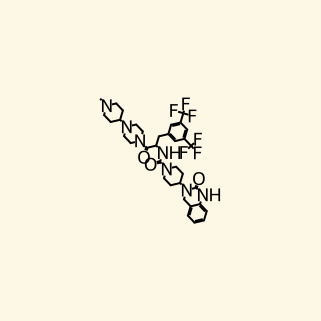 CN1CCC(N2CCN(C(=O)C(Cc3cc(C(F)(F)F)cc(C(F)(F)F)c3)NC(=O)N3CCC(N4Cc5ccccc5NC4=O)CC3)CC2)CC1